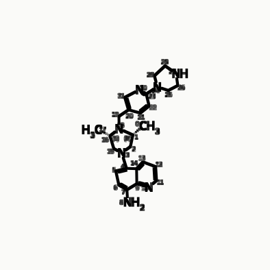 C[C@@H]1CN(c2ccc(N)c3ncccc23)C[C@H](C)N1Cc1ccc(N2CCNCC2)nc1